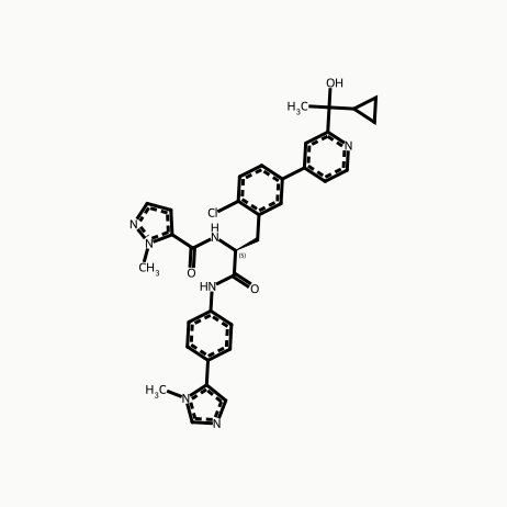 Cn1cncc1-c1ccc(NC(=O)[C@H](Cc2cc(-c3ccnc(C(C)(O)C4CC4)c3)ccc2Cl)NC(=O)c2ccnn2C)cc1